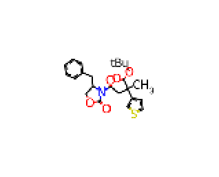 CC(C)(C)OC(=O)C(C)(CC(=O)N1C(=O)OCC1Cc1ccccc1)c1ccsc1